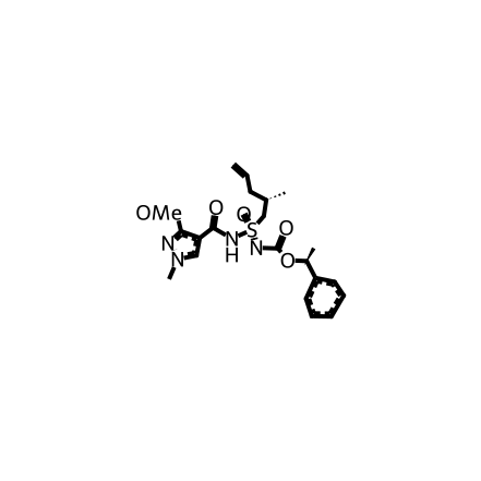 C=CC[C@H](C)CS(=O)(=NC(=O)O[C@@H](C)c1ccccc1)NC(=O)c1cn(C)nc1OC